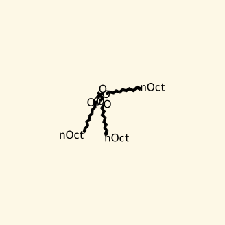 CCCCCCCCC=CCCCCCCCCOC(=O)C(C)(COC(=O)CCCCCCCC=CCCCCCCCC)COC(=O)CCCCCCCC=CCCCCCCCC